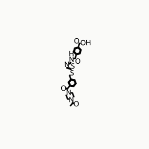 CC(=O)N1CCN(C(=O)c2cccc(CSc3cnc(NC(=O)c4ccc(C(=O)O)cc4)s3)c2)CC1